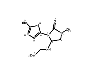 CCCCCCCCCCCNC1CN(C)C(=O)N1c1nnc(C(C)(C)C)s1